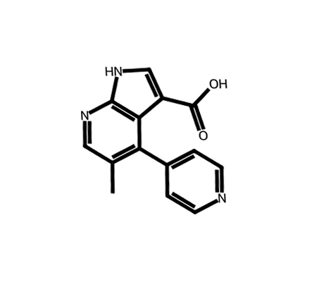 Cc1cnc2[nH]cc(C(=O)O)c2c1-c1ccncc1